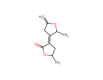 C=C1C/C(=C2/CC(C)OC2=O)C(C)O1